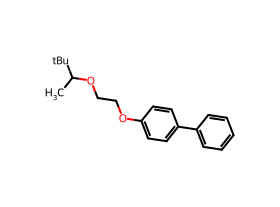 CC(OCCOc1ccc(-c2ccccc2)cc1)C(C)(C)C